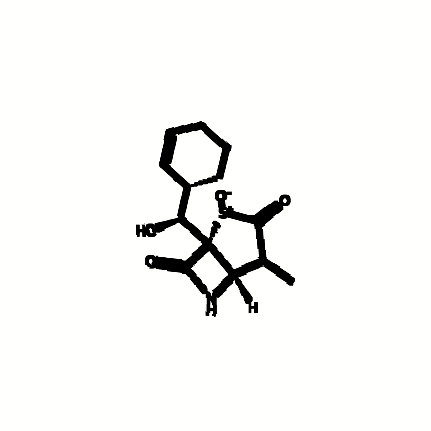 CC1C(=O)[S+]([O-])[C@@]2([C@@H](O)[C@@H]3C=CCCC3)C(=O)N[C@@H]12